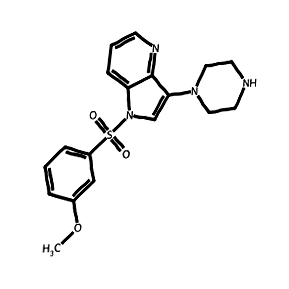 COc1cccc(S(=O)(=O)n2cc(N3CCNCC3)c3ncccc32)c1